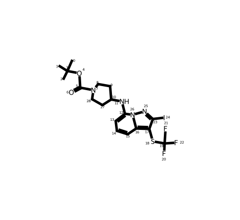 CC(C)(C)OC(=O)N1CCC(Nc2cccc3c(SC(F)(F)F)c(I)nn23)CC1